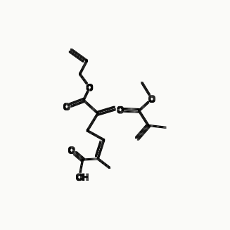 C=C(C)C(=O)OC.C=CCOC(=O)C(=C)CC=C(C)C(=O)O